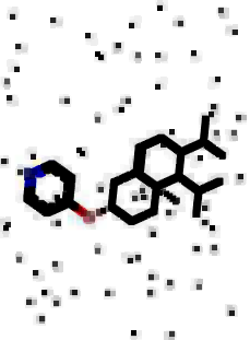 CC(C)C1CC=C2C[C@@H](Oc3ccncc3)CC[C@]2(C)C1C(C)C